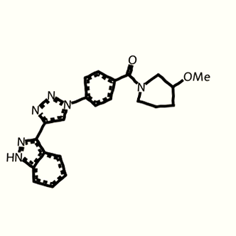 COC1CCCN(C(=O)c2ccc(-n3cc(-c4n[nH]c5ccccc45)nn3)cc2)C1